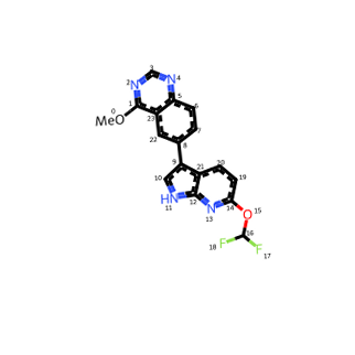 COc1ncnc2ccc(-c3c[nH]c4nc(OC(F)F)ccc34)cc12